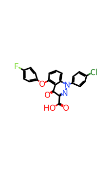 O=C(O)c1nn(-c2ccc(Cl)cc2)c2cccc(Oc3ccc(F)cc3)c2c1=O